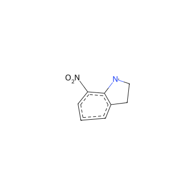 O=[N+]([O-])c1cccc2c1[N]CC2